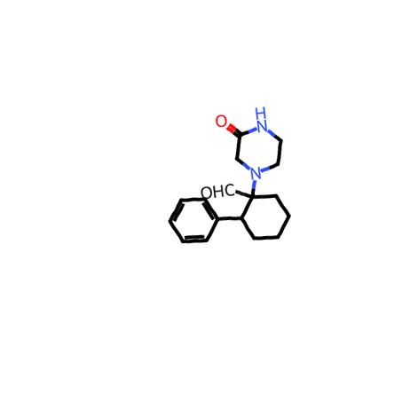 O=CC1(N2CCNC(=O)C2)CCCCC1c1ccccc1